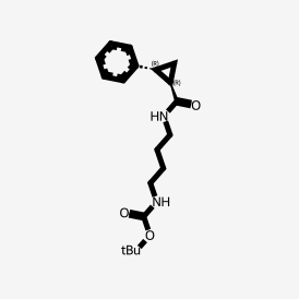 CC(C)(C)OC(=O)NCCCCNC(=O)[C@@H]1C[C@H]1c1ccccc1